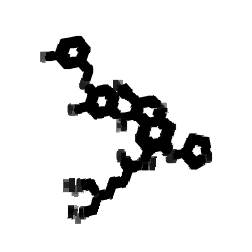 CCN(CC)CC=CC(=O)Nc1cc2c(Nc3ccc(OCc4cccc(F)c4)c(Cl)c3)c(C#N)cnc2cc1O[C@H]1CCOC1